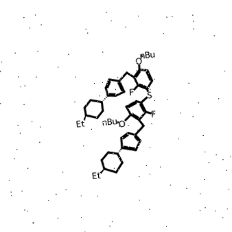 CCCCOc1ccc(Sc2ccc(OCCCC)c(Cc3ccc([C@H]4CC[C@H](CC)CC4)cc3)c2F)c(F)c1Cc1ccc([C@H]2CC[C@H](CC)CC2)cc1